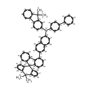 CC1(C)c2ccccc2-c2ccc(N(c3ccc(-c4ccccc4)cc3)c3ccc4cc(-c5cccc6c5-c5ccccc5C65c6ccccc6C(C)(C)c6ccccc65)ccc4c3)cc21